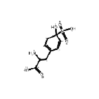 NC(CC1=CCC(O)(S(=O)(=O)O)C=C1)C(=O)O